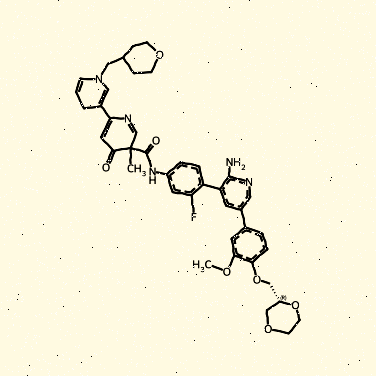 COc1cc(-c2cnc(N)c(-c3ccc(NC(=O)C4(C)C=NC(C5=CN(CC6CCOCC6)C=CC5)=CC4=O)cc3F)c2)ccc1OC[C@H]1COCCO1